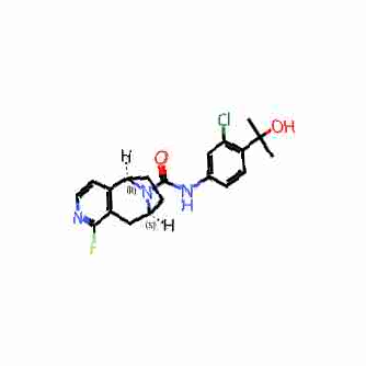 CC(C)(O)c1ccc(NC(=O)N2[C@H]3CC[C@@H]2c2ccnc(F)c2C3)cc1Cl